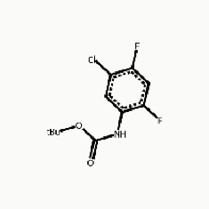 CC(C)(C)OC(=O)Nc1cc(Cl)c(F)cc1F